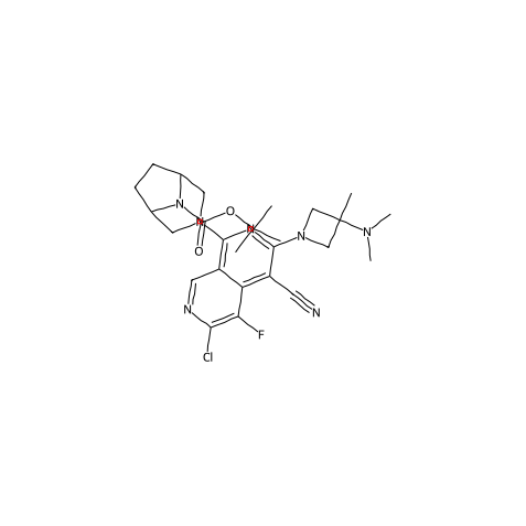 CN(C)C1(C)CN(c2nc(N3CC4CCC(C3)N4C(=O)OC(C)(C)C)c3cnc(Cl)c(F)c3c2C#N)C1